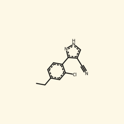 CCc1ccc(-c2n[nH]cc2C#N)c(Cl)c1